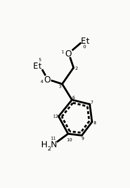 CCOCC(OCC)c1cccc(N)c1